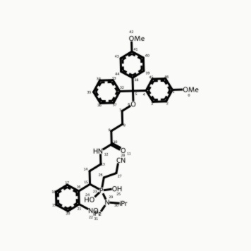 COc1ccc(C(OCCCC(=O)NCCC(c2ccccc2[N+](=O)[O-])P(O)(O)(CCC#N)N(C(C)C)C(C)C)(c2ccccc2)c2ccc(OC)cc2)cc1